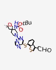 C[C@H]1CC2(CCN(c3ncc(Sc4cccc5c(C=O)csc45)c4nccn34)CC2NC(=O)OC(C)(C)C)CO1